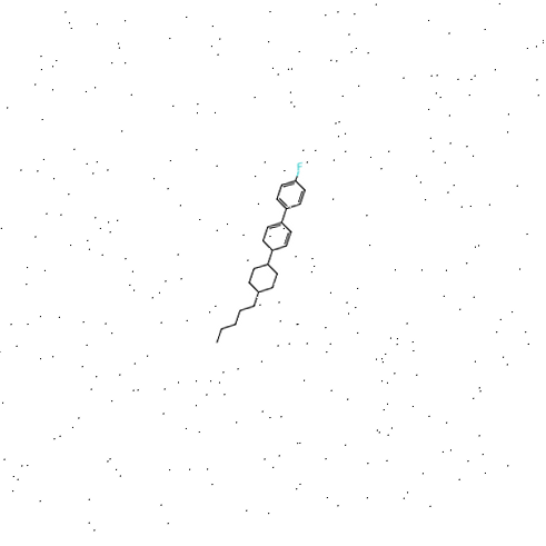 CCCCCC1CCC(C2C=CC(c3ccc(F)cc3)=CC2)CC1